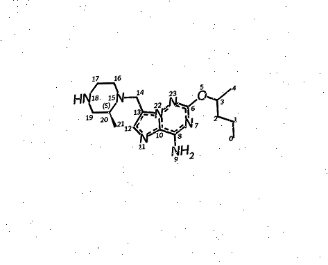 CCCC(C)Oc1nc(N)c2ncc(CN3CCNC[C@@H]3C)n2n1